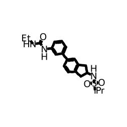 CCNC(=O)Nc1cccc(-c2ccc3c(c2)CC(NS(=O)(=O)C(C)C)C3)c1